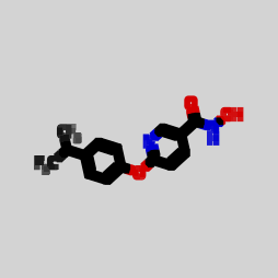 O=C(NO)c1ccc(Oc2ccc(C(C(F)(F)F)C(F)(F)F)cc2)nc1